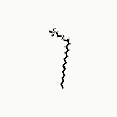 CCCCCCC=CCCCCCCCC(=O)[P-]OCC[N+](C)(C)C